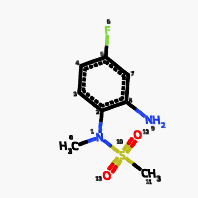 CN(c1ccc(F)cc1N)S(C)(=O)=O